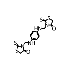 O=C1CSC(=S)N1CNc1ccc(NCN2C(=O)CSC2=S)cc1